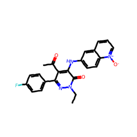 CCn1nc(-c2ccc(F)cc2)c(C(C)=O)c(Nc2ccc3c(ccc[n+]3[O-])c2)c1=O